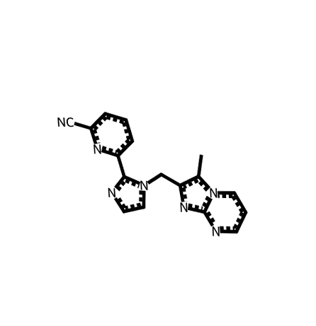 Cc1c(Cn2ccnc2-c2cccc(C#N)n2)nc2ncccn12